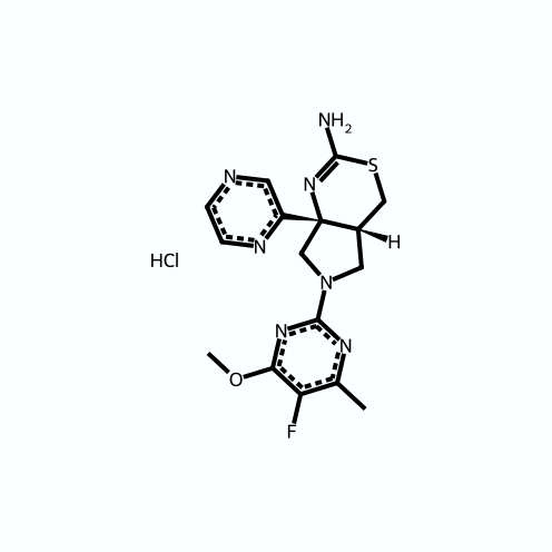 COc1nc(N2C[C@H]3CSC(N)=N[C@@]3(c3cnccn3)C2)nc(C)c1F.Cl